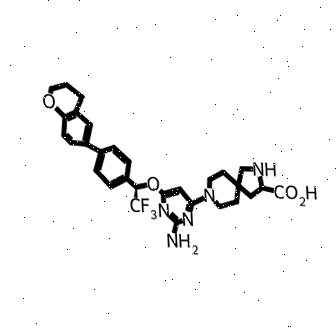 Nc1nc(O[C@H](c2ccc(-c3ccc4c(c3)CCCO4)cc2)C(F)(F)F)cc(N2CCC3(CC2)CNC(C(=O)O)C3)n1